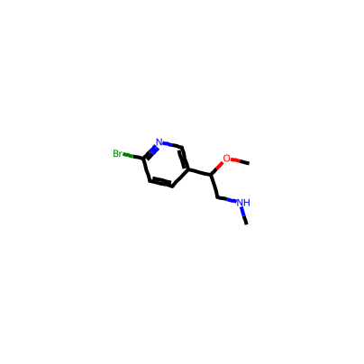 CNCC(OC)c1ccc(Br)nc1